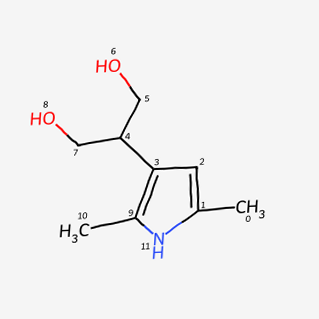 Cc1cc(C(CO)CO)c(C)[nH]1